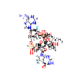 CC(C)[Si](O)(O[Si](O[C@H]1[C@H]2OP(O)(=S)OC[C@H]3O[C@@H](n4cnc5c(N)ncnc54)[C@H](F)[C@@H]3OP(=O)(O)OC[C@H]1O[C@H]2n1cc(F)c2c(=O)[nH]cnc21)(C(C)C)C(C)C)C(C)C